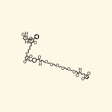 O=C(COCCOCCOCCOCCOCCOCCNC(=O)C1CCC(CN2C(=O)CC(SCCCCCC(NC(=O)C3CCC(=O)N3)C(=O)Nc3ccccc3)C2=O)CC1)NCCN1C(=O)C=CC1=O